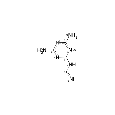 N=CNc1nc(N)nc(N)n1